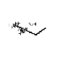 CCCCCCCC/C=C\CCCCCCCC(=O)NC(CCCNC(=N)N)C(=O)O.[NaH]